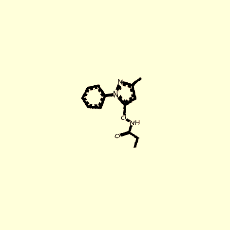 CCC(=O)NOc1cc(C)nn1-c1ccccc1